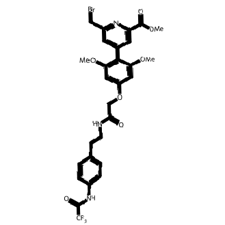 COC(=O)c1cc(-c2c(OC)cc(OCC(=O)NCCc3ccc(NC(=O)C(F)(F)F)cc3)cc2OC)cc(CBr)n1